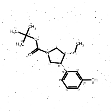 CC[C@H]1CN(C(=O)OC(C)(C)C)C[C@H]1c1cccc(O)c1